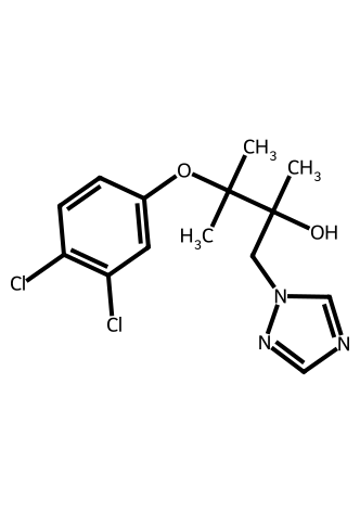 CC(O)(Cn1cncn1)C(C)(C)Oc1ccc(Cl)c(Cl)c1